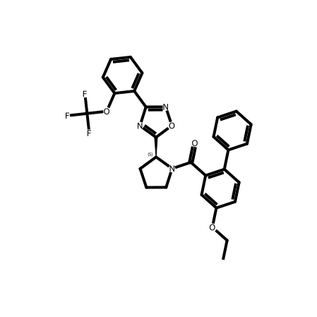 CCOc1ccc(-c2ccccc2)c(C(=O)N2CCC[C@H]2c2nc(-c3ccccc3OC(F)(F)F)no2)c1